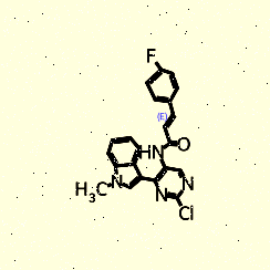 Cn1cc(-c2nc(Cl)ncc2NC(=O)/C=C/c2ccc(F)cc2)c2ccccc21